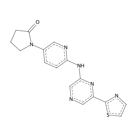 O=C1CCCN1c1ccc(Nc2cncc(-c3nccs3)n2)nc1